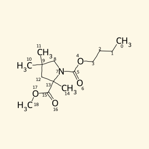 CCCCOC(=O)N1CC(C)(C)CC1(C)C(=O)OC